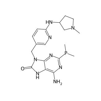 CN1CCC(Nc2ccc(Cn3c(=O)[nH]c4c(N)nc(P(C)C)nc43)cn2)C1